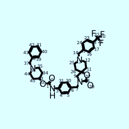 O=C(Nc1ccc(CN2CC3(CCN(Cc4ccc(C(F)(F)F)cc4)CC3)OC2=O)cc1)OC1CCN(Cc2ccccc2)CC1